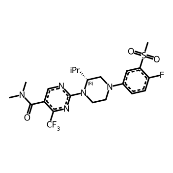 CC(C)[C@@H]1CN(c2ccc(F)c(S(C)(=O)=O)c2)CCN1c1ncc(C(=O)N(C)C)c(C(F)(F)F)n1